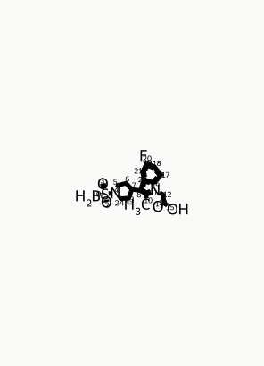 BS(=O)(=O)N1CCC(c2c(C)n(CC(=O)O)c3ccc(F)cc23)CC1